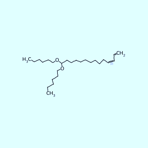 C=C/C=C\CCCCCCCCCC(OCCCCCC)OCCCCCC